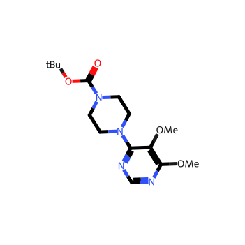 COc1ncnc(N2CCN(C(=O)OC(C)(C)C)CC2)c1OC